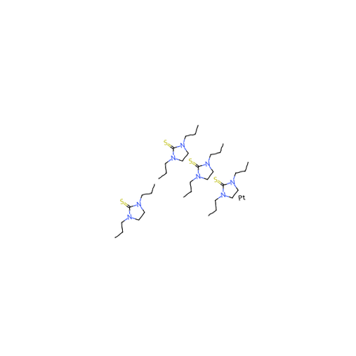 CCCN1CCN(CCC)C1=S.CCCN1CCN(CCC)C1=S.CCCN1CCN(CCC)C1=S.CCCN1CCN(CCC)C1=S.[Pt]